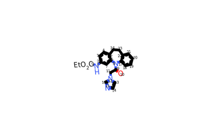 CCOC(=O)Nc1ccc2c(c1)N(C(=O)Cn1ccnc1)c1ccccc1CC2